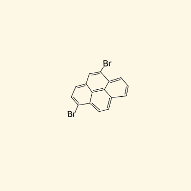 Brc1cc2ccc(Br)c3ccc4cccc1c4c23